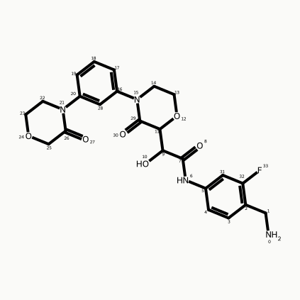 NCc1ccc(NC(=O)C(O)C2OCCN(c3cccc(N4CCOCC4=O)c3)C2=O)cc1F